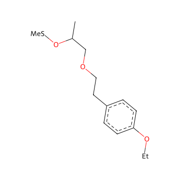 CCOc1ccc(CCOCC(C)OSC)cc1